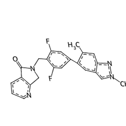 Cc1cc2nn(C)cc2cc1-c1cc(F)c(CN2Cc3ncccc3C2=O)c(F)c1